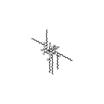 CCCCCCCCCCC[C@H](CC(=O)NC1[C@H](OC[C@H](NC(=O)C[C@@H](CCCCCCCCCCC)OC(=O)CCCCCCCCC)C(=O)O)OC(CO)[C@H](OP(=O)(O)O)[C@@H]1OC(=O)C[C@@H](CCCCCCCCCCC)OC(=O)CCCCCCCCC)OC(=O)CCCCCCCCC